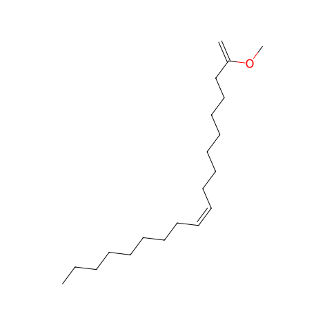 C=C(CCCCCCC/C=C\CCCCCCCC)OC